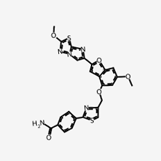 COc1cc(OCc2csc(-c3ccc(C(N)=O)cc3)n2)c2cc(-c3cn4nc(OC)sc4n3)oc2c1